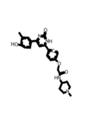 Cc1cc(-c2cc(-c3ccc(OCC(=O)NC4CCN(C)CC4)cc3)[nH]c(=O)n2)ccc1O